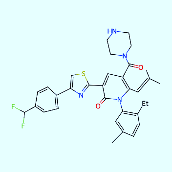 CCc1ccc(C)cc1-n1c(C=C(C)C)c(C(=O)N2CCNCC2)cc(-c2nc(-c3ccc(C(F)F)cc3)cs2)c1=O